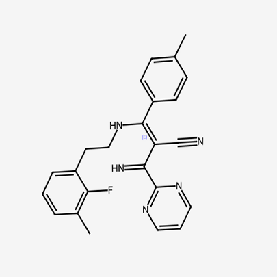 Cc1ccc(/C(NCCc2cccc(C)c2F)=C(\C#N)C(=N)c2ncccn2)cc1